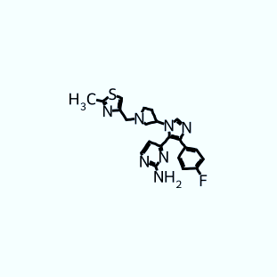 Cc1nc(CN2CCC(n3cnc(-c4ccc(F)cc4)c3-c3ccnc(N)n3)C2)cs1